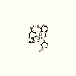 COc1cccc(CN([C@@H]2CCN(C#N)C2)S(=O)(=O)c2cc(Cl)ccc2OC)c1